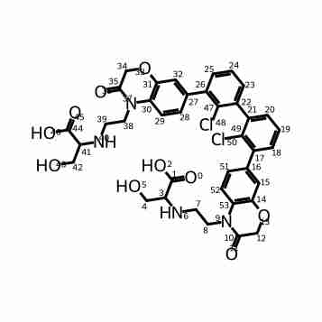 O=C(O)C(CO)NCCN1C(=O)COc2cc(-c3cccc(-c4cccc(-c5ccc6c(c5)OCC(=O)N6CCNC(CO)C(=O)O)c4Cl)c3Cl)ccc21